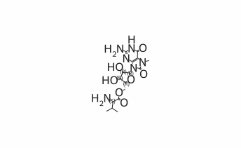 CC(C)[C@H](N)C(=O)OC[C@H]1O[C@@H](n2c(=O)n(C)c3c(=O)[nH]c(N)nc32)[C@H](O)[C@@H]1O